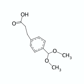 COC(OC)c1ccc(CCC(=O)O)cc1